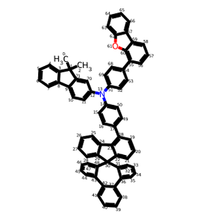 CC1(C)c2ccccc2-c2ccc(N(c3ccc(-c4cccc5c4-c4ccccc4C54c5ccccc5-c5ccccc5-c5ccccc54)cc3)c3ccc(-c4cccc5c4oc4ccccc45)cc3)cc21